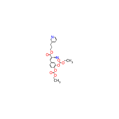 CCOC(=O)Oc1ccc(/C=C(\C#N)C(=O)OCCCc2cccnc2)cc1OC(=O)OCC